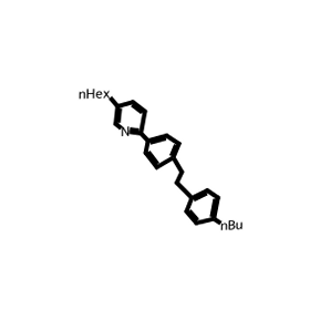 CCCCCCc1ccc(-c2ccc(CCc3ccc(CCCC)cc3)cc2)nc1